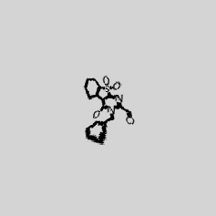 O=Cc1nc2c(c(=O)n1Cc1ccccc1)C1=C(CCCC1)S2(=O)=O